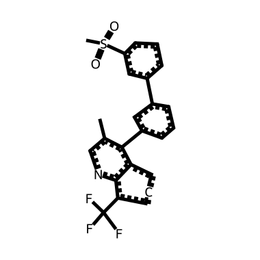 Cc1cnc2c(C(F)(F)F)cccc2c1-c1cccc(-c2cccc(S(C)(=O)=O)c2)c1